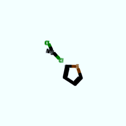 [Cl][Mg][Cl].[c]1cccs1